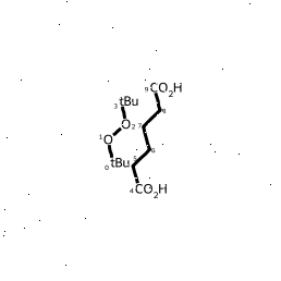 CC(C)(C)OOC(C)(C)C.O=C(O)CCCCC(=O)O